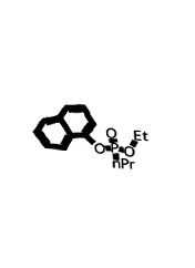 CCCP(=O)(OCC)Oc1cccc2ccccc12